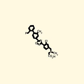 Cc1cc(-c2nc(-c3ccc(CN(C)CC(=O)O)cc3Cl)no2)ccc1-c1ccccc1CF